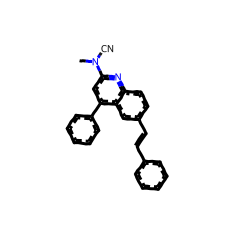 CN(C#N)c1cc(-c2ccccc2)c2cc(C=Cc3ccccc3)ccc2n1